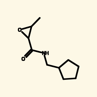 CC1OC1C(=O)NCC1CCCC1